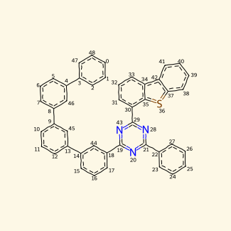 c1ccc(-c2cccc(-c3cccc(-c4cccc(-c5nc(-c6ccccc6)nc(-c6cccc7c6sc6ccccc67)n5)c4)c3)c2)cc1